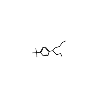 CCCCC(CCC)c1ccc(C(C)(C)C)cc1